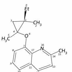 CC[C@]1(C)CC1(C)Oc1cccc2ccc(C)nc12